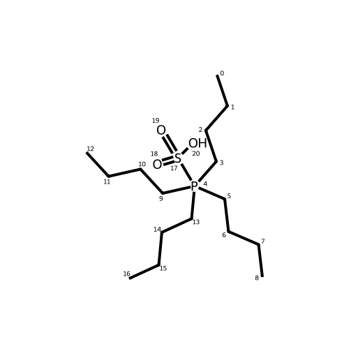 CCCCP(CCCC)(CCCC)(CCCC)S(=O)(=O)O